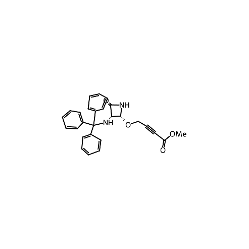 COC(=O)C#CCO[C@H]1NC(=O)[C@H]1NC(c1ccccc1)(c1ccccc1)c1ccccc1